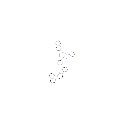 c1ccc(-c2nc(-c3cccc(-c4cccc5c4oc4c6c(ccc45)-c4cccc5cccc-6c45)c3)nc(-c3ccc4ccccc4c3)n2)cc1